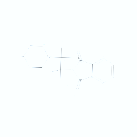 O=C1c2ccccc2C(=O)N1C(O)(C(=O)O)C(O)(C(=O)O)N1CCCCC1